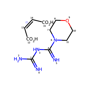 N=C(N)NC(=N)N1CCOCC1.O=C(O)/C=C\C(=O)O